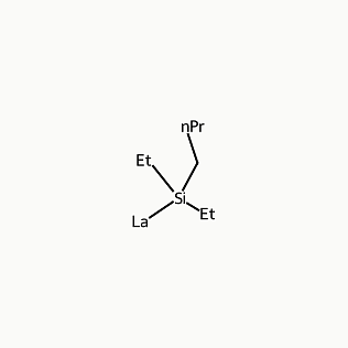 CCCC[Si]([La])(CC)CC